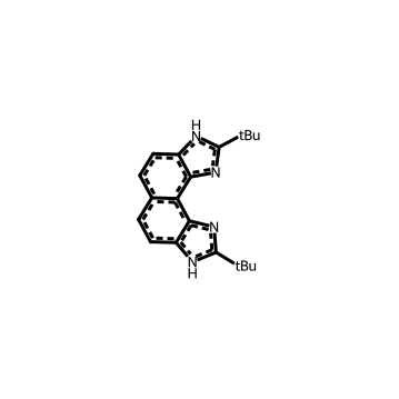 CC(C)(C)c1nc2c(ccc3ccc4[nH]c(C(C)(C)C)nc4c32)[nH]1